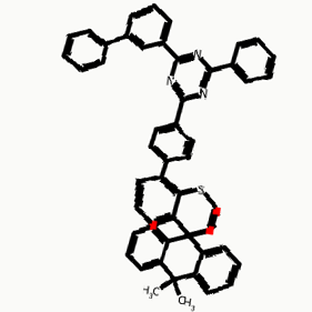 CC1(C)c2ccccc2C2(c3ccccc3Sc3c(-c4ccc(-c5nc(-c6ccccc6)nc(-c6cccc(-c7ccccc7)c6)n5)cc4)cccc32)c2ccccc21